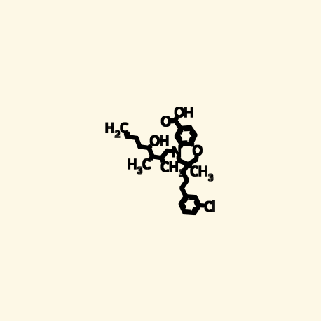 C=CCCC(O)C(C)C(C)CN1CC(C)(CCCc2cccc(Cl)c2)COc2ccc(C(=O)O)cc21